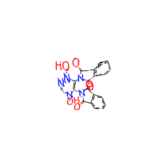 O=C1c2ccccc2C(=O)N1C1=C(N2C(=O)c3ccccc3C2=O)N(O)N=CN1O